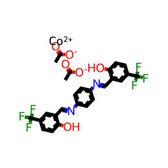 CC(=O)[O-].CC(=O)[O-].Oc1ccc(C(F)(F)F)cc1C=Nc1ccc(N=Cc2cc(C(F)(F)F)ccc2O)cc1.[Co+2]